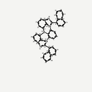 c1cc2c3c(c1)-n1c(-c4cccc5ccccc45)nc4cccc(c41)B3c1cccc3nc(-c4cccc5ccccc45)n-2c13